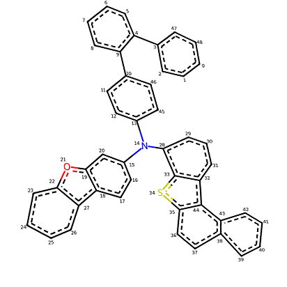 c1ccc(-c2ccccc2-c2ccc(N(c3ccc4c(c3)oc3ccccc34)c3cccc4c3sc3ccc5ccccc5c34)cc2)cc1